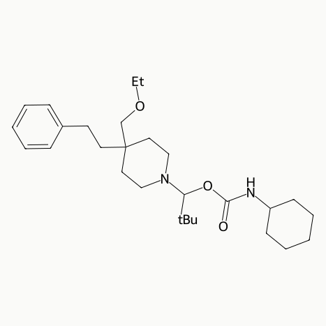 CCOCC1(CCc2ccccc2)CCN(C(OC(=O)NC2CCCCC2)C(C)(C)C)CC1